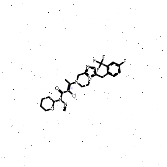 C=NN(C(=O)/C(Cl)=C(\C)N1CCn2c(Cc3ccc(F)cc3C(F)(F)F)cnc2C1)C1CCCCO1